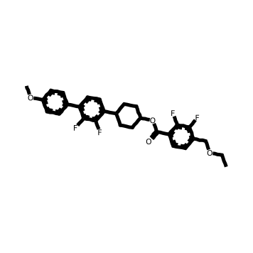 CCOCc1ccc(C(=O)OC2CCC(c3ccc(-c4ccc(OC)cc4)c(F)c3F)CC2)c(F)c1F